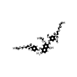 COc1cc(S(=O)(=O)CCOSOOO)c(OC)cc1/N=N/c1c(SOOO)cc2c(/N=N/c3ccc(S(=O)(=O)CCOSOOO)cc3)c(N)ccc2c1O